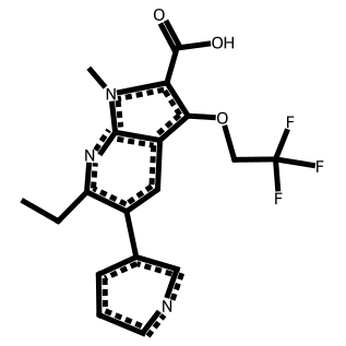 CCc1nc2c(cc1-c1cccnc1)c(OCC(F)(F)F)c(C(=O)O)n2C